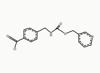 O=C(NCc1ccc(C(=O)Cl)cc1)OCc1cccnc1